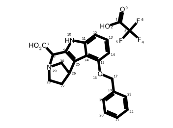 O=C(O)C(F)(F)F.O=C(O)C1c2[nH]c3cccc(OCc4ccccc4)c3c2C2CCN1C2